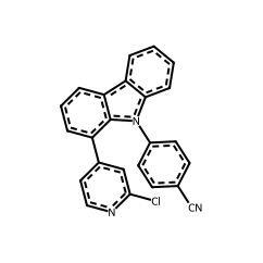 N#Cc1ccc(-n2c3ccccc3c3cccc(-c4ccnc(Cl)c4)c32)cc1